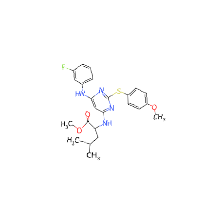 COC(=O)C(CC(C)C)Nc1cc(Nc2cccc(F)c2)nc(Sc2ccc(OC)cc2)n1